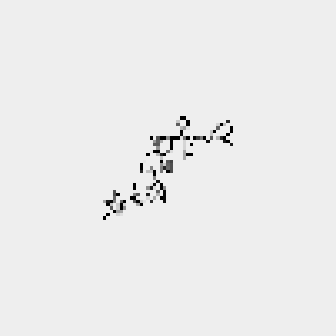 Cc1ncc(C(=O)NCCN2CCCC2(C)C)cc1NC(=O)c1cnn2cc(-c3cn(C)cn3)sc12